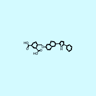 O=C(O)c1ccc(COc2ccc3cc(-c4ccc(-c5ccccc5)[nH]4)ccc3c2)c(C(=O)O)c1